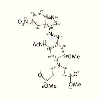 COC(=O)CCN(CCC(=O)OC)c1cc(NC(C)=O)c(/N=N/c2snc3ccc([N+](=O)[O-])cc23)cc1OC